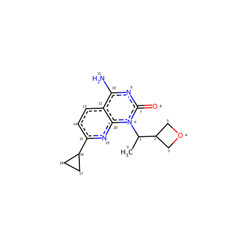 CC(C1COC1)n1c(=O)nc(N)c2ccc(C3CC3)nc21